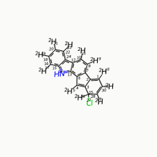 [2H]C1=C2C(=C([2H])c3c2c([2H])c([2H])c2c3[nH]c3c([2H])c([2H])c([2H])c([2H])c32)C([2H])(Cl)C([2H])=C1[2H]